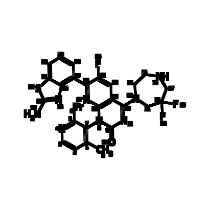 Cc1ccnc(C(C)C)c1-n1c(=O)nc(N2CCNCC(F)(F)C2)c2cc(F)c(-c3cccc4sc(N)nc34)nc21